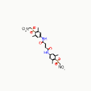 Cc1cc(NC(=O)CCC(=O)Nc2cc(C)c(S(=O)(=O)C[N+](=O)[O-])c(C)c2)cc(C)c1S(=O)(=O)C[N+](=O)[O-]